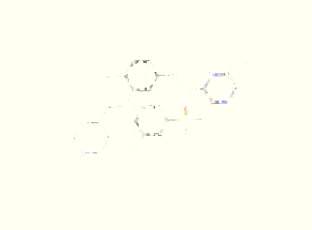 Cc1cnc(NS(=O)(=O)c2cccc(Cl)c2C)c(OCc2ccc(Cl)c(OCC3CCN(C)CC3)c2)n1